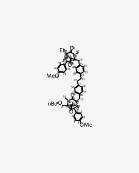 CCCCOC[C@@]12SC(c3ccc(OC)cc3)S[C@@](Cc3ccc(CCc4ccc(CC56SC(c7ccc(OC)cc7)S[C@@](CC)(C(=O)N5C)N(C)C6=O)cc4)cc3)(C(=O)N1C)N(C)C2=O